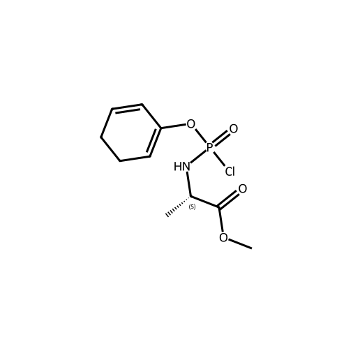 COC(=O)[C@H](C)NP(=O)(Cl)OC1=CCCC=C1